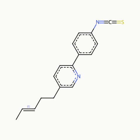 C/C=C/CCc1ccc(-c2ccc(N=C=S)cc2)nc1